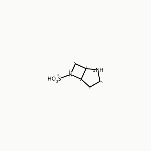 O=S(=O)(O)N1CC2NCCC21